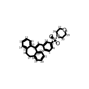 O=S(=O)(c1cccc(C=C2c3ccccc3CCc3ccccc32)c1)N1CCOCC1